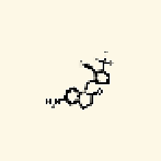 N#Cc1c(CN2C(=O)CCc3cc(N)ccc32)cccc1C(F)(F)F